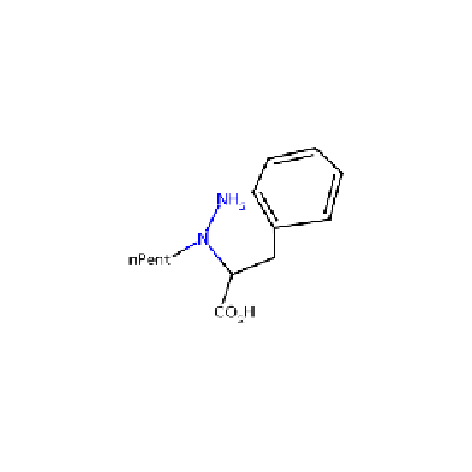 CCCCCN(N)C(Cc1ccccc1)C(=O)O